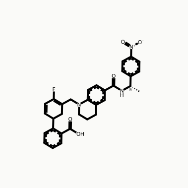 C[C@H](NC(=O)c1ccc2c(c1)CCCN2CC1=C(F)C=CC(c2ccccc2C(=O)O)C1)c1ccc([N+](=O)[O-])cc1